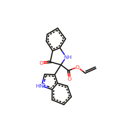 C=COC(=O)C1(c2c[nH]c3ccccc23)Nc2ccccc2C1=O